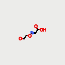 O=CCON=CC(=O)O